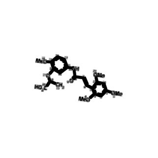 COc1cc(OC)c(C=CC(=O)Nc2ccc(OC)c(OC(C)C(=O)O)c2)c(OC)c1